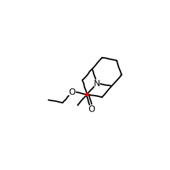 CCOC(=O)N1C2CCCC1CC(C)C2